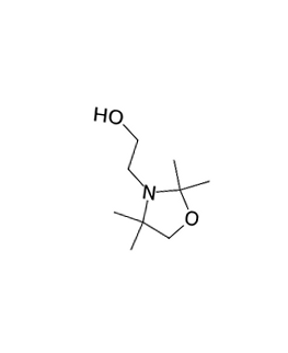 CC1(C)COC(C)(C)N1CCO